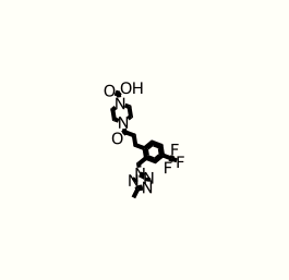 Cc1nnn(Cc2cc(C(F)(F)F)ccc2CCC(=O)N2CCN(C(=O)O)CC2)n1